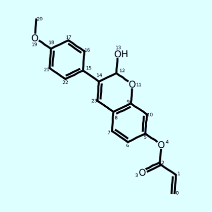 C=CC(=O)Oc1ccc2c(c1)OC(O)C(c1ccc(OC)cc1)=C2